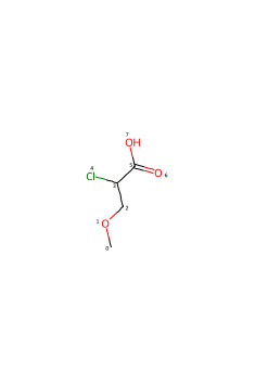 COCC(Cl)C(=O)O